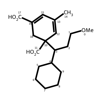 COCCC(C1CCCCC1)C1(C(=O)O)C=C(C)C=C(C(=O)O)C1